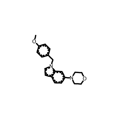 COc1ccc(Cn2ccc3ccc(N4CCOCC4)cc32)cc1